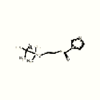 CC(C)(C)[Si](C)(C)OCCNC(=O)n1ccnc1